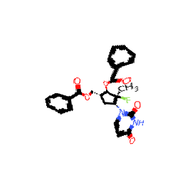 C[C@@]1(F)[C@H](OC(=O)c2ccccc2)[C@@H](COC(=O)c2ccccc2)C[C@H]1n1ccc(=O)[nH]c1=O